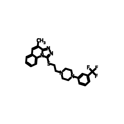 Cc1cc2ccccc2n2c(SCCN3CCN(c4cccc(C(F)(F)F)c4)CC3)nnc12